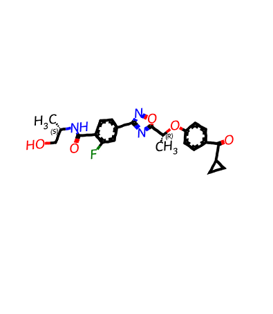 C[C@@H](CO)NC(=O)c1ccc(-c2noc([C@@H](C)Oc3ccc(C(=O)C4CC4)cc3)n2)cc1F